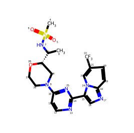 CC(NS(C)(=O)=O)[C@@H]1CN(c2ccnc(-c3cnc4ccc(C(F)(F)F)cn34)n2)CCO1